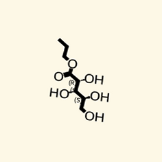 CCCOC(=O)[C@H](O)[C@@H](O)[C@@H](O)CO